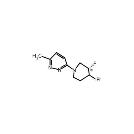 Cc1ccc(N2CCC(C(C)C)[C@@H](F)C2)nn1